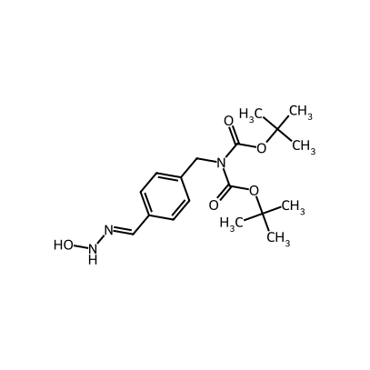 CC(C)(C)OC(=O)N(Cc1ccc(C=NNO)cc1)C(=O)OC(C)(C)C